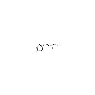 CCOCN(C)C(C)(C)Nc1ccc(C(C)C)cc1